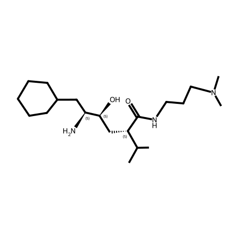 CC(C)[C@H](C[C@H](O)[C@@H](N)CC1CCCCC1)C(=O)NCCCN(C)C